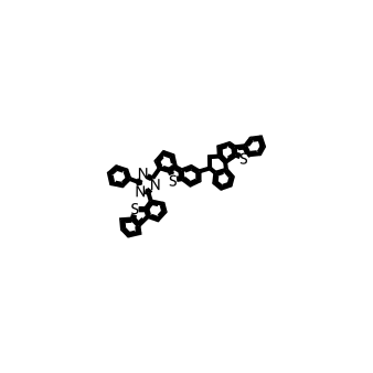 c1ccc(-c2nc(-c3cccc4c3sc3ccccc34)nc(-c3cccc4c3sc3ccc(C5Cc6ccc7c(sc8ccccc87)c6-c6ccccc65)cc34)n2)cc1